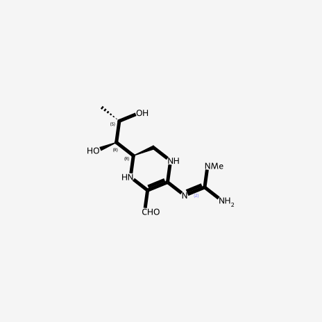 CN/C(N)=N\C1=C(C=O)N[C@@H]([C@@H](O)[C@H](C)O)CN1